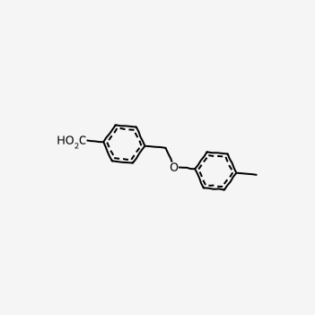 Cc1ccc(OCc2ccc(C(=O)O)cc2)cc1